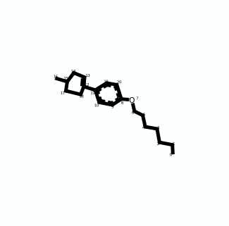 CCCCCCCOc1ccc(C2=CCC(C)CC2)cc1